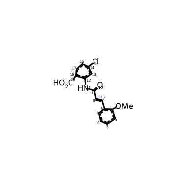 COc1ccccc1/C=C/C(=O)Nc1cc(Cl)ccc1C(=O)O